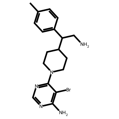 Cc1ccc(C(CN)C2CCN(c3ncnc(N)c3Br)CC2)cc1